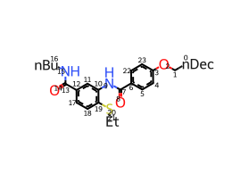 CCCCCCCCCCCOc1ccc(C(=O)Nc2cc(C(=O)NCCCC)ccc2SCC)cc1